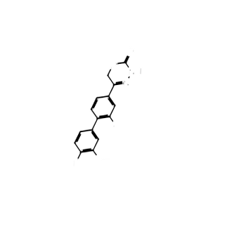 O=C1NN=C(c2ccc(-c3ccc(F)c(O)c3)c(C(F)(F)F)c2)CO1